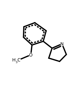 COc1ccccc1C1=NCCC1